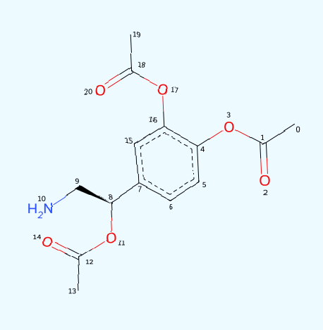 CC(=O)Oc1ccc([C@H](CN)OC(C)=O)cc1OC(C)=O